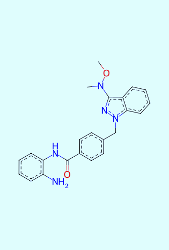 CON(C)c1nn(Cc2ccc(C(=O)Nc3ccccc3N)cc2)c2ccccc12